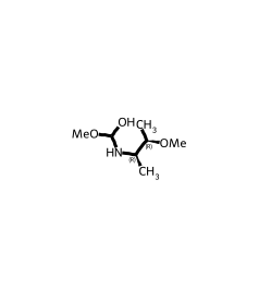 COC(O)N[C@H](C)[C@@H](C)OC